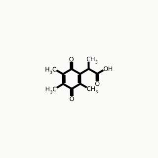 CC1=C(C)C(=O)C(C(C)C(=O)O)=C(C)C1=O